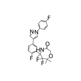 CC1(C)OCC(=O)NC(C)(c2cc(-c3cnn(-c4ccc(F)cc4)c3)ccc2F)C1(F)F